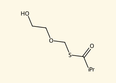 CC(C)C(=O)SCOCCO